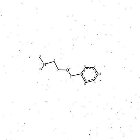 CN(C)CCOCc1cc[c]cc1